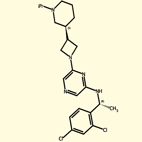 CC(C)N1CCC[C@@H](C2CN(c3cncc(N[C@H](C)c4ccc(Cl)cc4Cl)n3)C2)C1